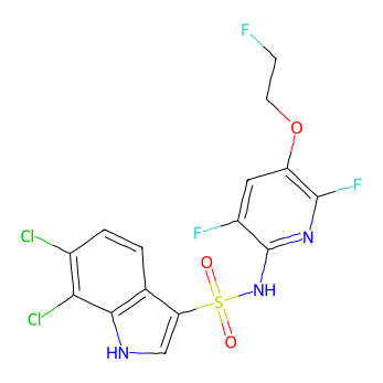 O=S(=O)(Nc1nc(F)c(OCCF)cc1F)c1c[nH]c2c(Cl)c(Cl)ccc12